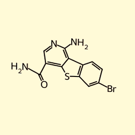 NC(=O)c1cnc(N)c2c1sc1cc(Br)ccc12